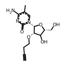 C#CCCO[C@H]1C(O)[C@@H](CO)O[C@H]1n1cc(C)c(N)nc1=O